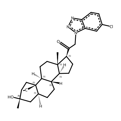 CC[C@]12CC[C@@](C)(O)C[C@@H]1CC[C@H]1[C@@H]3CC[C@H](C(=O)Cn4nnc5ccc(Cl)cc54)[C@@]3(C)CC[C@@H]12